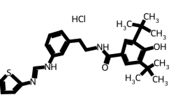 CC(C)(C)c1cc(C(=O)NCCc2cccc(NC=Nc3cccs3)c2)cc(C(C)(C)C)c1O.Cl